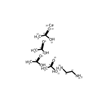 CC(=O)O.CC(=O)O.CC(=O)O.CC(=O)O.NCCN.[Ca]